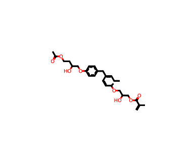 C=C(C)C(=O)OCC(O)COC(C)/C=C\C(=C/CC)Cc1ccc(OCC(O)CCOC(C)=O)cc1